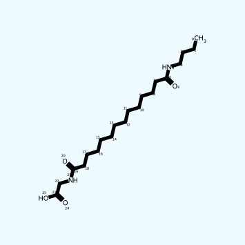 CCCCNC(=O)CCCCCCCCCCCCC(=O)NCC(=O)O